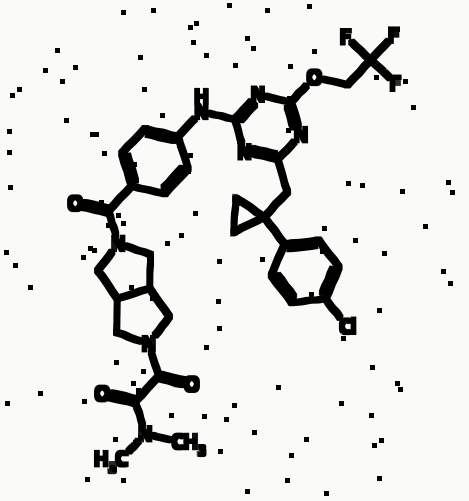 CN(C)C(=O)C(=O)N1CC2CN(C(=O)c3ccc(Nc4nc(CC5(c6ccc(Cl)cc6)CC5)nc(OCC(F)(F)F)n4)cc3)CC2C1